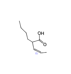 C/C=C\C(CCCC)C(=O)O